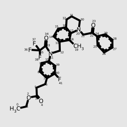 CCOC(=O)CCc1ccc(N(Cc2ccc3c(c2C)N(CC(=O)c2ccccc2)CCC3)C(=O)C(F)(F)F)cc1F